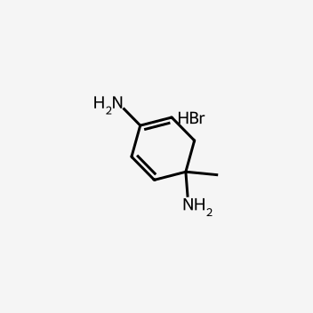 Br.CC1(N)C=CC(N)=CC1